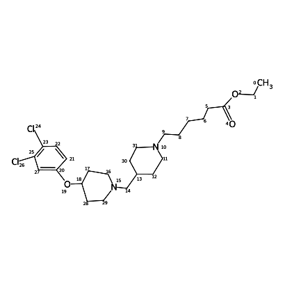 CCOC(=O)CCCCCN1CCC(CN2CCC(Oc3ccc(Cl)c(Cl)c3)CC2)CC1